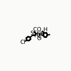 Cc1ccc([PH](=O)Nc2cc(-c3ccc(Cl)cc3)sc2C(=O)O)c(C)c1